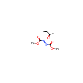 CC(C)OC(=O)N=NC(=O)OC(C)C.CCC(C)=O